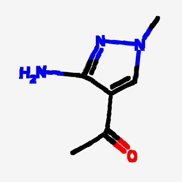 CC(=O)c1cn(C)nc1N